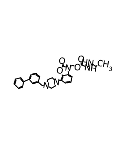 CCNNC(=O)OCn1c(=O)oc2c(N3CCN(Cc4cccc(-c5ccccc5)c4)CC3)cccc21